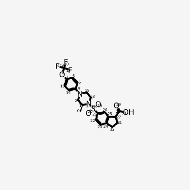 C[C@H]1CN(c2ccc(OC(F)(F)F)cc2)CCN1S(=O)(=O)c1ccc2c(c1)C(C(=O)O)CC2